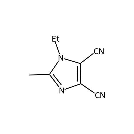 CCn1c(C)nc(C#N)c1C#N